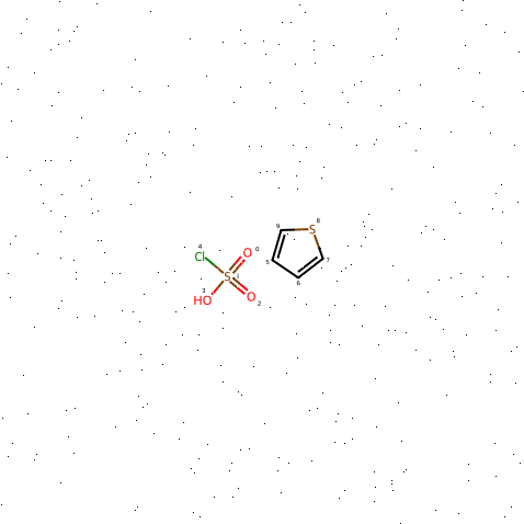 O=S(=O)(O)Cl.c1ccsc1